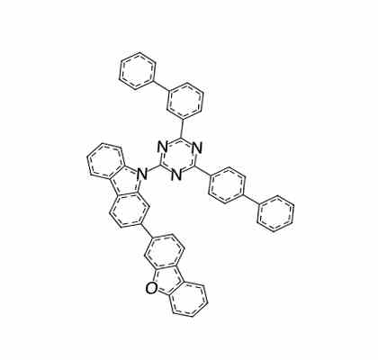 c1ccc(-c2ccc(-c3nc(-c4cccc(-c5ccccc5)c4)nc(-n4c5ccccc5c5ccc(-c6ccc7c(c6)oc6ccccc67)cc54)n3)cc2)cc1